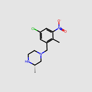 Cc1c(CN2CCN[C@@H](C)C2)cc(Cl)cc1[N+](=O)[O-]